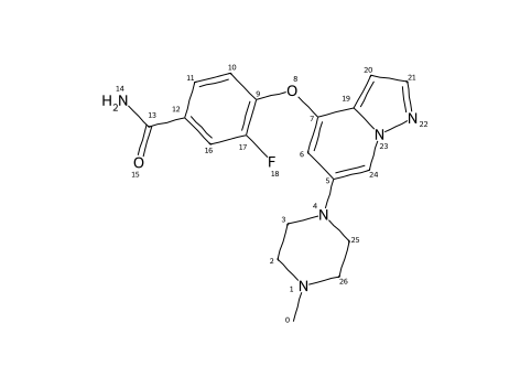 CN1CCN(c2cc(Oc3ccc(C(N)=O)cc3F)c3ccnn3c2)CC1